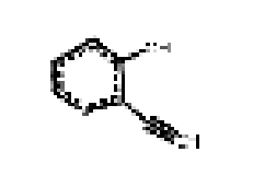 C#Cc1ncccc1O